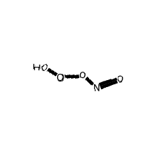 O=NOOO